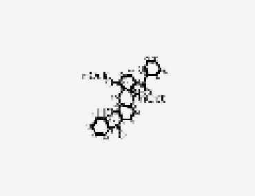 CCCCCCCCOc1ccc(C(=O)c2ccccc2)c(O)c1Cc1c(OCCCCCCCC)ccc(C(=O)c2ccccc2)c1O